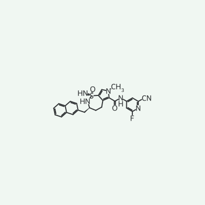 Cn1cc2c(c1C(=O)Nc1cc(F)nc(C#N)c1)CC[C@@H](Cc1ccc3ccccc3c1)NS2(=N)=O